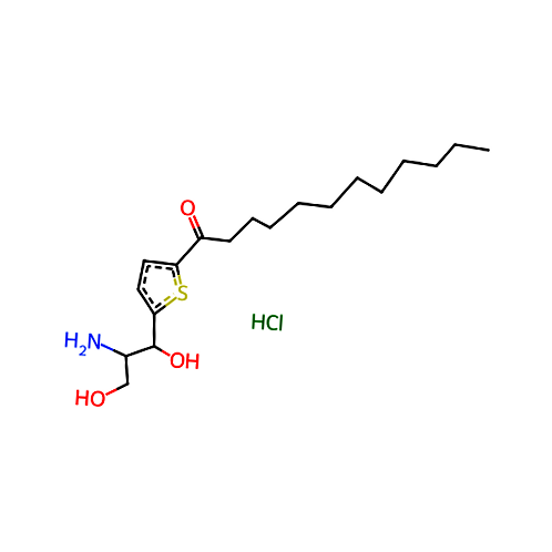 CCCCCCCCCCCC(=O)c1ccc(C(O)C(N)CO)s1.Cl